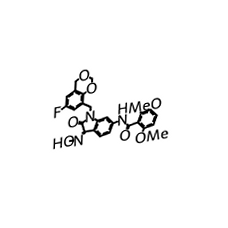 COc1cccc(OC)c1C(=O)Nc1ccc2c(c1)N(Cc1cc(F)cc3c1OCOC3)C(=O)/C2=N\O